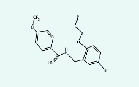 N=C(NCc1cc(Br)ccc1OCCF)c1ccc(OC(F)(F)F)cc1